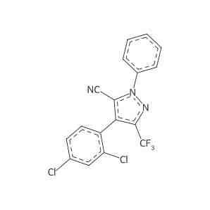 N#Cc1c(-c2ccc(Cl)cc2Cl)c(C(F)(F)F)nn1-c1ccccc1